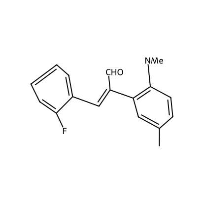 CNc1ccc(C)cc1/C(C=O)=C/c1ccccc1F